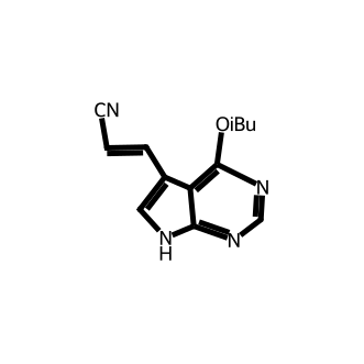 CC(C)COc1ncnc2[nH]cc(/C=C/C#N)c12